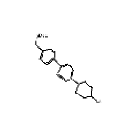 CCCCCCCCCCCc1ccc(-c2ccc(C3CCC(CC)CC3)cc2)cc1